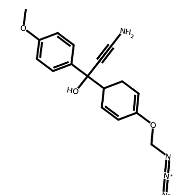 COc1ccc(C(O)(C#CN)C2C=CC(OCN=[N+]=[N-])=CC2)cc1